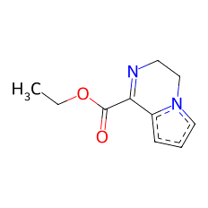 CCOC(=O)C1=NCCn2cccc21